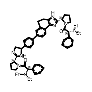 CCN(CC)[C@@H](C(=O)N1CCC[C@H]1C1=NCC(c2ccc(-c3ccc4c(c3)CCc3[nH]c([C@@H]5CCCN5C(=O)[C@@H](c5ccccc5)N(CC)CC)nc3-4)cc2)N1)c1ccccc1